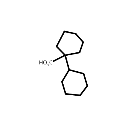 O=C(O)C1(C2CCCCC2)CCCCC1